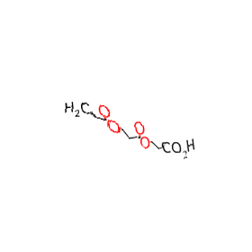 C=CC(=O)OCCC(=O)OCCC(=O)O